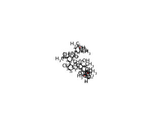 COc1c(CN2O[C@@H](CO)[C@@H]([C@H](C)O)[C@H]2C(=O)N[C@H]2C[C@H]3CC([C@@H]2C)C3(C)C)ccc(Cl)c1-c1cc(C(=O)N[C@@H](CC(C)C)CN(C)C)cc(N(C)C)c1